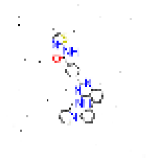 O=C(Nc1nccs1)c1ccc(-c2nc(NCC3CC=CC=N3)c3c(-c4ccccc4)cccc3n2)cc1